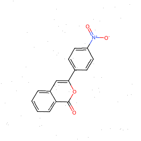 O=c1oc(-c2ccc([N+](=O)[O-])cc2)cc2ccccc12